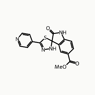 COC(=O)c1ccc2c(c1)C1(NN=C(c3ccncc3)S1)C(=O)N2